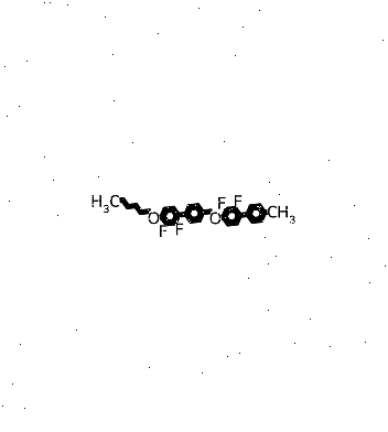 CCCCCCOc1ccc(-c2ccc(COc3ccc(-c4ccc(C)cc4)c(F)c3F)cc2)c(F)c1F